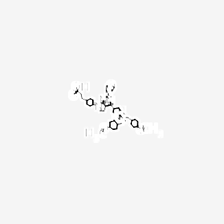 COc1ccc(CN(Cc2ccc(OC)cc2)c2ncc(-c3nc(N4CCOCC4)nc4c3CCN4c3ccc(CCC(=O)O)cc3)cn2)cc1